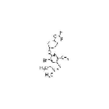 CCN(C)/C=N\c1cc(Br)c(OC2CCC(OC(F)F)CC2)nc1C